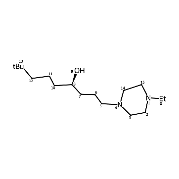 CCN1CCN(CCC[C@H](O)CCCC(C)(C)C)CC1